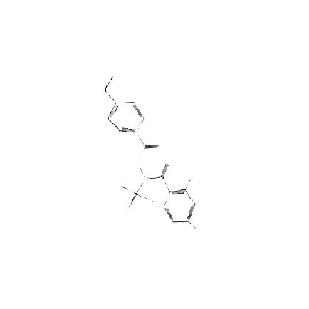 CCc1ccc(C(=O)NN(C(=O)c2ccc(Cl)cc2Cl)C(C)(C)C)cc1